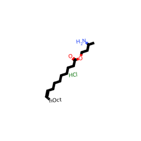 CCCCCCCC/C=C\CCCCCCCC(=O)OCCC(C)N.Cl